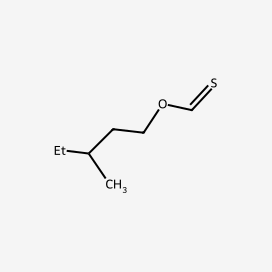 CCC(C)CCOC=S